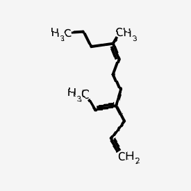 C=CCC(=CC)CCC=C(C)CCC